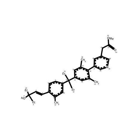 CCC(O)(C=Cc1ccc(C(CC)(CC)c2cc(C)c(-c3cncc(CC(=O)OC)c3)c(C)c2)cc1C)CC